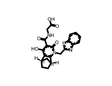 O=C(O)CNC(=O)c1c(O)c2c(n(Cc3nc4ccccc4s3)c1=O)[C@@H]1CC[C@H]2C1